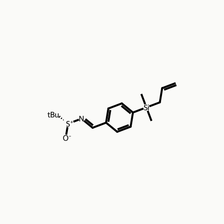 C=CC[Si](C)(C)c1ccc(C=N[S@+]([O-])C(C)(C)C)cc1